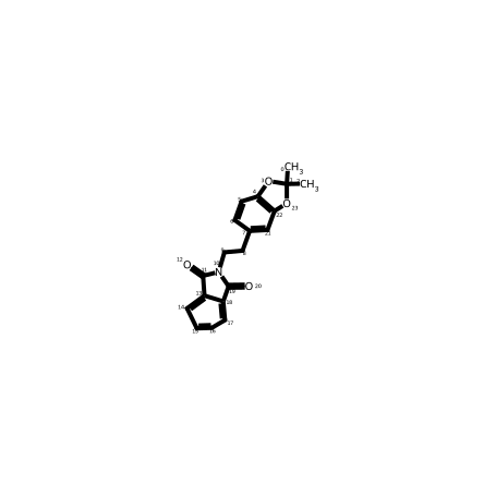 CC1(C)Oc2ccc(CCN3C(=O)c4ccccc4C3=O)cc2O1